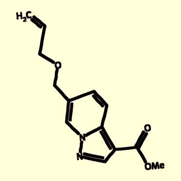 C=CCOCc1ccc2c(C(=O)OC)cnn2c1